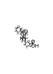 O=C(O)c1cccc(-c2cnn(C3=COC=C(C4=CC=CCC4)O3)c2)c1